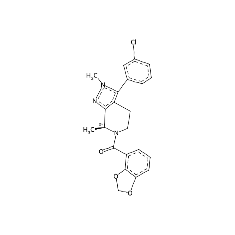 C[C@H]1c2nn(C)c(-c3cccc(Cl)c3)c2CCN1C(=O)c1cccc2c1OCO2